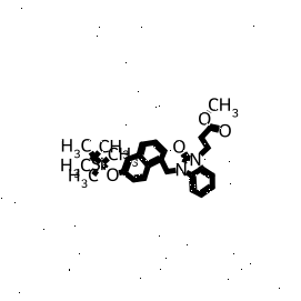 COC(=O)CCn1c(=O)n(Cc2cccc3cc(O[Si](C)(C)C(C)(C)C)ccc23)c2ccccc21